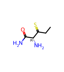 CCC(=S)[C@H](N)C(N)=O